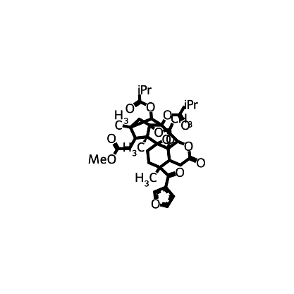 COC(=O)CC1C2(C)CC34OC5(C)OC67C(CC(=O)OC6C3(OC(=O)C(C)C)C2OC(=O)C(C)C)C(C)(C(=O)c2ccoc2)CCC7(O5)[C@]14C